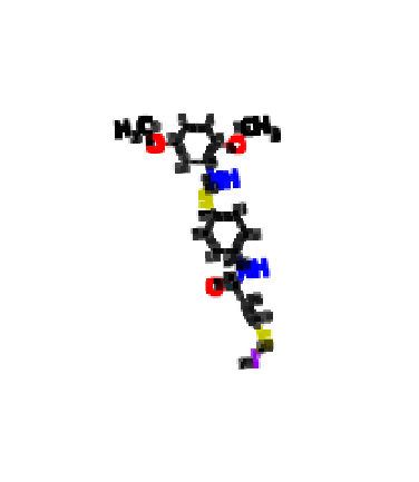 COc1ccc(OC)c(NSc2ccc(NC(=O)C#CSI)cc2)c1